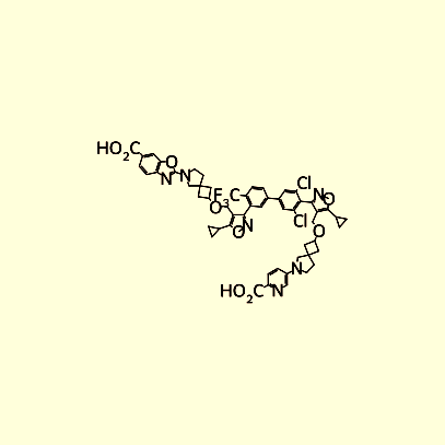 O=C(O)c1ccc2nc(N3CCC4(CC(OCc5c(-c6cc(-c7cc(Cl)c(-c8noc(C9CC9)c8COC8CC9(CCN(c%10ccc(C(=O)O)nc%10)C9)C8)c(Cl)c7)ccc6C(F)(F)F)noc5C5CC5)C4)C3)oc2c1